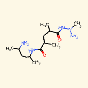 CC(N)CC(C)NC(=O)C(C)CC(C)C(=O)NN(C)N